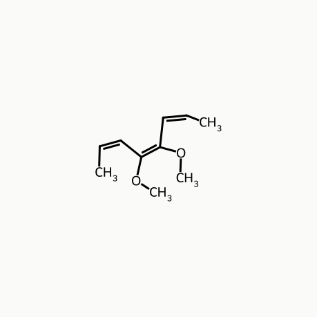 C\C=C/C(OC)=C(\C=C/C)OC